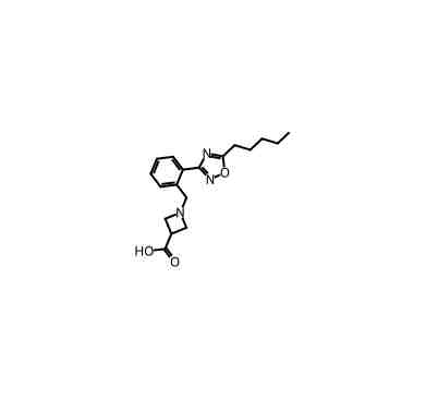 CCCCCc1nc(-c2ccccc2CN2CC(C(=O)O)C2)no1